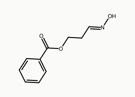 O=C(OCCC=NO)c1ccccc1